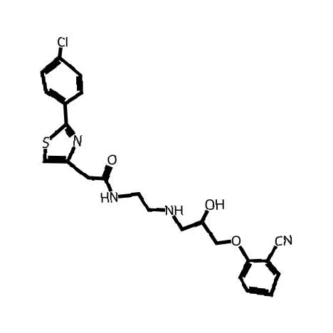 N#Cc1ccccc1OCC(O)CNCCNC(=O)Cc1csc(-c2ccc(Cl)cc2)n1